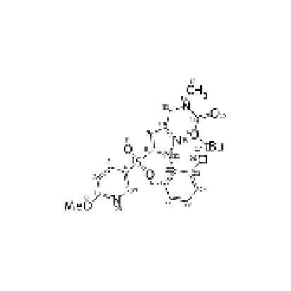 COc1ccc(S(=O)(=O)c2cc(CN(C)C(=O)OC(C)(C)C)nn2-c2ccccc2Cl)cn1